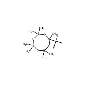 C[Si]1(C)O[Si](C)(C)O[Si](C)(C(F)(F)F)O[Si](C)(C)O1